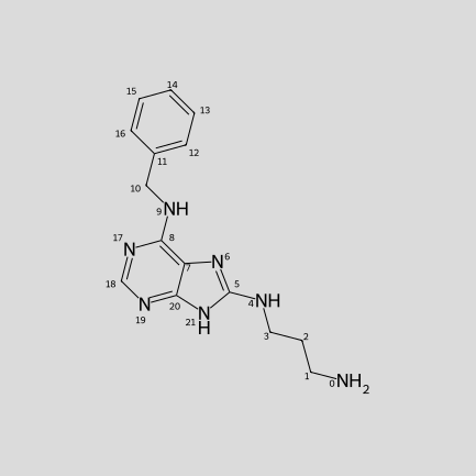 NCCCNc1nc2c(NCc3ccccc3)ncnc2[nH]1